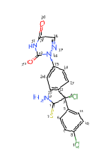 NC(=S)C(Cl)(c1ccc(Cl)cc1)c1ccc(-n2ncc(=O)[nH]c2=O)cc1